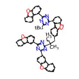 CC(C)(C)c1nc(-c2cccc3oc4ccccc4c23)nc(-c2cccc3oc4cc(CC(C)(C)c5nc(-c6ccc7oc8ccccc8c7c6)nc(-c6ccc7oc8ccccc8c7c6)n5)ccc4c23)n1